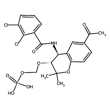 CC(=O)c1ccc2c(c1)[C@H](NC(=O)c1cccc(Cl)c1Cl)[C@@H](OCOP(=O)(O)O)C(C)(C)O2